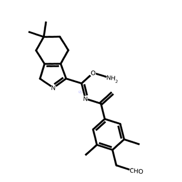 C=C(/N=C(\ON)C1=NCC2=C1CCC(C)(C)C2)c1cc(C)c(CC=O)c(C)c1